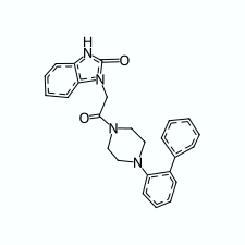 O=C(Cn1c(=O)[nH]c2ccccc21)N1CCN(c2ccccc2-c2ccccc2)CC1